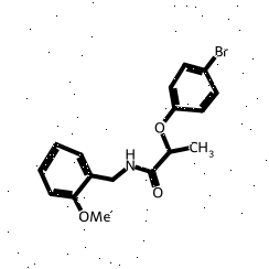 COc1ccccc1CNC(=O)C(C)Oc1ccc(Br)cc1